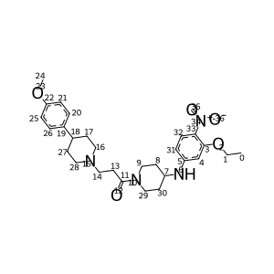 CCOc1cc(NC2CCN(C(=O)CCN3CCC(c4ccc(OC)cc4)CC3)CC2)ccc1[N+](=O)[O-]